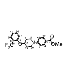 COC(=O)c1ccc(N2CCC(Oc3ccccc3C(F)(F)F)CC2)cc1